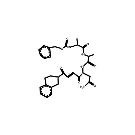 CC(NC(=O)OCc1ccccc1)C(=O)NC(C)C(=O)NN(CC(N)=O)C(=O)/C=C/C(=O)N1CCc2ccccc2C1